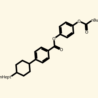 CCCCCCCC1CCC(c2ccc(C(=O)Oc3ccc(OC(=O)CCCC)cc3)cc2)CC1